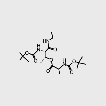 CCNC(=O)[C@@H](NC(=O)OC(C)(C)C)[C@@H](C)OC(=O)[C@H](C)NC(=O)OC(C)(C)C